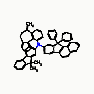 C=C1CCc2ccccc2-c2c1cccc2N(c1ccc2c(c1)C(C)(C)c1ccccc1-2)c1ccc2c(c1)C(c1ccccc1)(c1ccccc1)c1c-2ccc2ccccc12